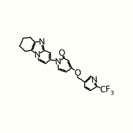 O=c1cc(OCc2ccc(C(F)(F)F)nc2)ccn1-c1ccn2c3c(nc2c1)CCCC3